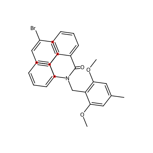 COc1cc(C)cc(OC)c1CN(Cc1ccc(Br)cc1)C(=O)c1ccccc1-c1ccccc1